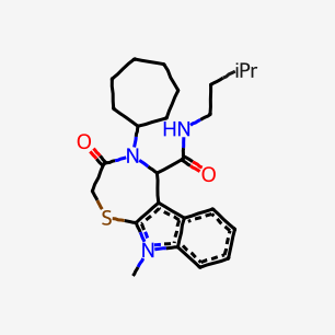 CC(C)CCNC(=O)C1c2c(n(C)c3ccccc23)SCC(=O)N1C1CCCCCC1